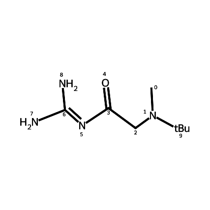 CN(CC(=O)N=C(N)N)C(C)(C)C